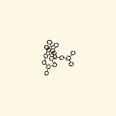 C=C(/C=C\C(=C/C)C1(c2ccccc2)c2ccccc2-c2ccc(-c3cccc(-c4nc(-c5ccccc5)cc(-c5ccccc5)n4)c3)cc21)c1cc(-c2ccc(-c3nc(-c4ccccc4)cc(-c4ccccc4)n3)cc2)cc(-c2ccc3c(c2)-c2ccccc2C3(c2ccccc2)c2ccccc2)c1